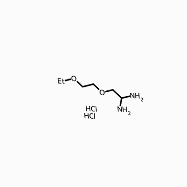 CCOCCOCC(N)N.Cl.Cl